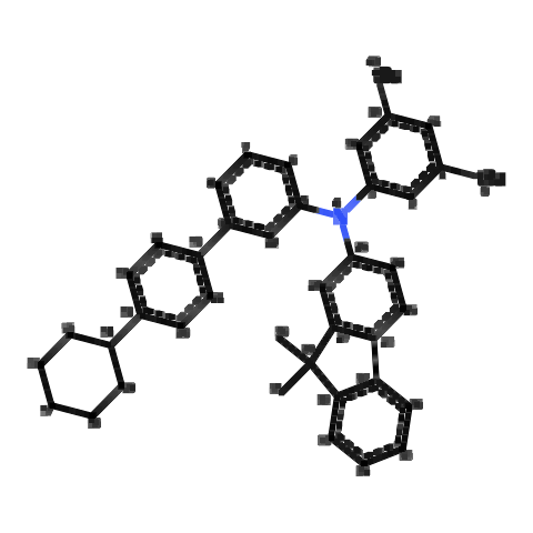 CC(C)(C)c1cc(N(c2cccc(-c3ccc(C4CCCCC4)cc3)c2)c2ccc3c(c2)C(C)(C)c2ccccc2-3)cc(C(C)(C)C)c1